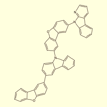 c1ccc2c(c1)oc1ccc(-c3ccc4c(c3)c3ccccc3n4-c3ccc4oc5ccc(-n6c7ccccc7c7cccnc76)cc5c4c3)cc12